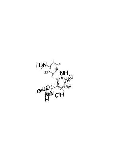 Cl.N[C@H]1CC[C@H](Nc2cc(-c3n[nH]c(=O)o3)cc(F)c2Cl)CC1